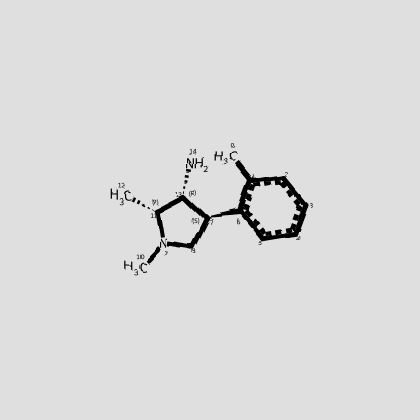 Cc1ccccc1[C@H]1CN(C)[C@H](C)[C@@H]1N